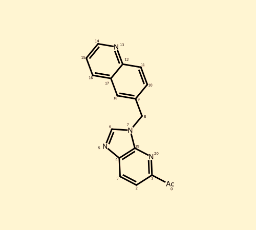 CC(=O)c1ccc2ncn(Cc3ccc4ncccc4c3)c2n1